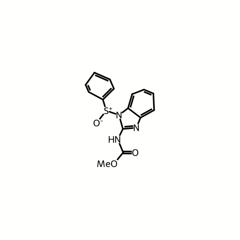 COC(=O)Nc1nc2ccccc2n1[S+]([O-])c1ccccc1